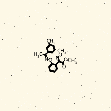 CON=C(C(=O)OC)c1ccccc1ON=C(C)c1cccc(C)c1